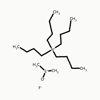 CCCC[N+](CCCC)(CCCC)CCCC.C[S+](C)[O-].[F-]